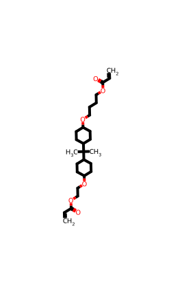 C=CC(=O)OCCCCOC1CCC(C(C)(C)C2CCC(OCCOC(=O)C=C)CC2)CC1